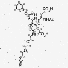 CC(=O)N[C@@H](CCC(=O)O)C(=O)N[C@H](CC(=O)OCc1ccccc1)C(=O)N[C@@H](CC(=O)O)C(=O)NCCOCCOCCN=[N+]=[N-]